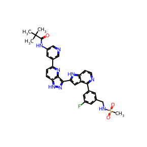 CC(C)(C)C(=O)Nc1cncc(-c2ccc3[nH]nc(-c4cc5c(-c6cc(F)cc(CNS(C)(=O)=O)c6)nccc5[nH]4)c3n2)c1